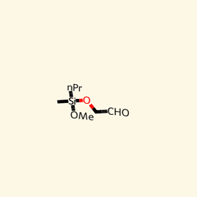 CCC[Si](C)(OC)OCC=O